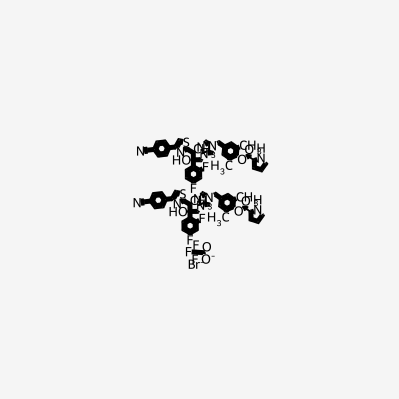 Cc1cc(C[n+]2cnn(C[C@](O)(c3ccc(F)cc3F)[C@@H](C)c3nc(-c4ccc(C#N)cc4)cs3)c2)cc(C)c1OC(=O)[C@@H]1CCCN1.Cc1cc(C[n+]2cnn(C[C@](O)(c3ccc(F)cc3F)[C@@H](C)c3nc(-c4ccc(C#N)cc4)cs3)c2)cc(C)c1OC(=O)[C@@H]1CCCN1.O=C([O-])C(F)(F)F.[Br-]